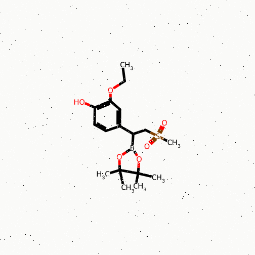 CCOc1cc(C(CS(C)(=O)=O)B2OC(C)(C)C(C)(C)O2)ccc1O